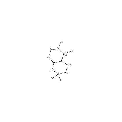 CC1CCC2OC(C)(C)CCC2C1C